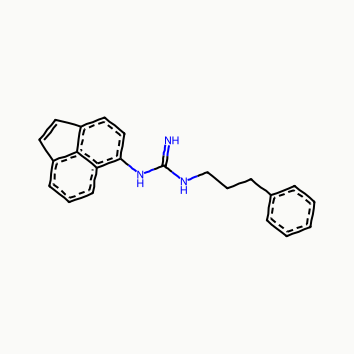 N=C(NCCCc1ccccc1)Nc1ccc2c3c(cccc13)C=C2